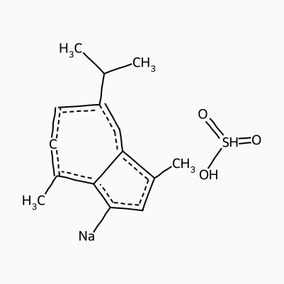 Cc1c[c]([Na])c2c(C)ccc(C(C)C)cc1-2.O=[SH](=O)O